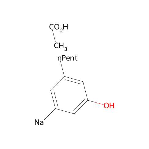 CC(=O)O.CCCCCc1cc(O)c[c]([Na])c1